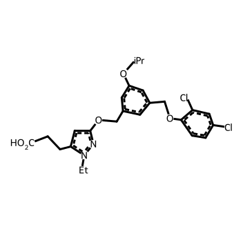 CCn1nc(OCc2cc(COc3ccc(Cl)cc3Cl)cc(OC(C)C)c2)cc1CCC(=O)O